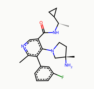 Cc1ncc(C(=O)N[C@@H](C)C2CC2)c(N2CC[C@](C)(N)C2)c1-c1cccc(F)c1